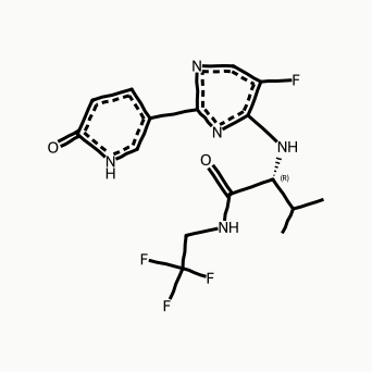 CC(C)[C@@H](Nc1nc(-c2ccc(=O)[nH]c2)ncc1F)C(=O)NCC(F)(F)F